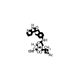 CC(=O)N1CC(C)(C(=O)N(CC(=O)Nc2ccc3c(c2)C[C@@]2(C3)C(=O)Nc3ncccc32)N(C)C(=O)OC(C)(C)C)C1